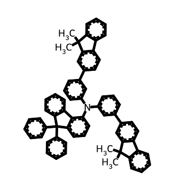 CC1(C)c2ccccc2-c2ccc(-c3cccc(N(c4cccc(-c5ccc6c(c5)C(C)(C)c5ccccc5-6)c4)c4cccc5c4-c4ccccc4C5(c4ccccc4)c4ccccc4)c3)cc21